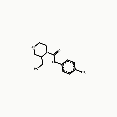 Cc1ccc(NC(=O)N2CCNCC2CO)cc1